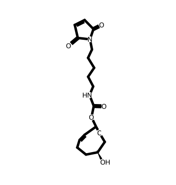 O=C(NCCCCCN1C(=O)C=CC1=O)OC1/C=C/CC[C@H](O)CC1